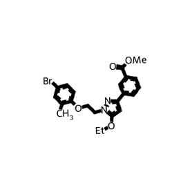 CCOc1cc(-c2cccc(C(=O)OC)c2)nn1CCOc1ccc(Br)cc1C